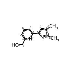 Cc1cc(-c2cccc(CO)n2)nn1C